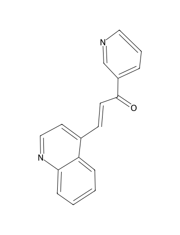 O=C(C=Cc1ccnc2ccccc12)c1cccnc1